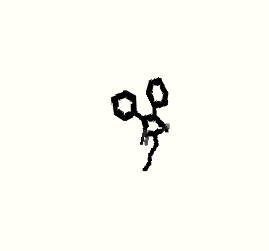 CCCCc1nc(-c2ccccc2)c(-c2ccccc2)[nH]1